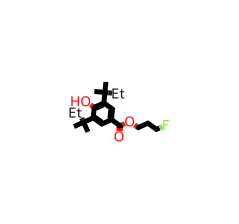 CCC(C)(C)c1cc(C(=O)OCCCF)cc(C(C)(C)CC)c1O